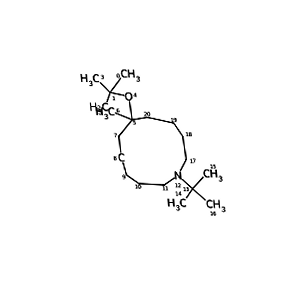 CC(C)(C)OC1(C)CCCCCN(C(C)(C)C)CCCC1